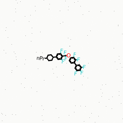 CCCC1CCC(c2cc(F)c(C(F)(F)Oc3ccc(-c4cc(F)c(F)c(F)c4)c(F)c3F)c(F)c2)CC1